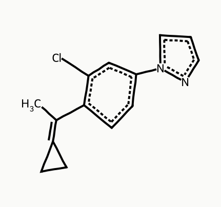 CC(=C1CC1)c1ccc(-n2cccn2)cc1Cl